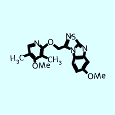 COc1ccc2c(c1)nc1snc(COc3ncc(C)c(OC)c3C)n12